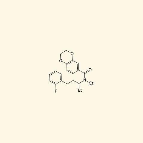 CCC(CCc1ccccc1F)N(CC)C(=O)c1ccc2c(c1)OCCO2